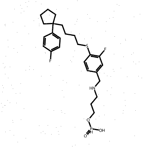 O=[PH](O)OCCCNCc1ccc(SCCCCC2(c3ccc(F)cc3)CCCC2)c(F)c1